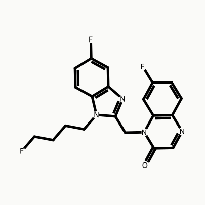 O=c1cnc2ccc(F)cc2n1Cc1nc2cc(F)ccc2n1CCCCF